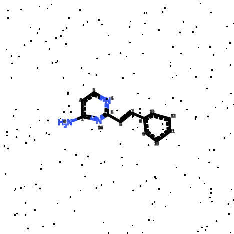 Nc1ccnc(/C=C/c2ccccc2)n1